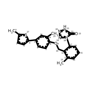 Cc1ccc(-c2ccc(OCc3c(C)cccc3-n3nn[nH]c3=O)c(C)c2)s1